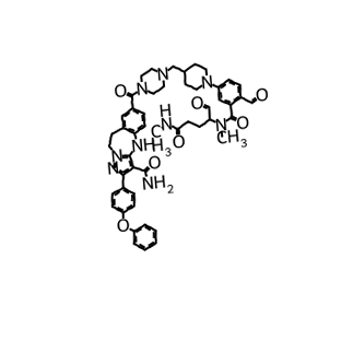 CNC(=O)CCC(C=O)N(C)C(=O)c1cc(N2CCC(CN3CCN(C(=O)c4ccc5c(c4)CCn4nc(-c6ccc(Oc7ccccc7)cc6)c(C(N)=O)c4N5)CC3)CC2)ccc1C=O